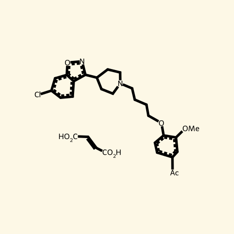 COc1cc(C(C)=O)ccc1OCCCCN1CCC(c2noc3cc(Cl)ccc23)CC1.O=C(O)C=CC(=O)O